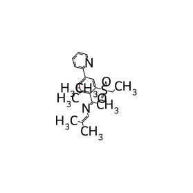 C/C=C(\C=C(/C(=C(C)C)/C(C)=N/C=C(C)C)S(=O)(=O)CC)c1ccccn1